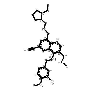 CCN1CCCC1CNCc1cc(C#N)cc2c(NCc3ccc(OC)c(Cl)c3)c(COC)cnc12